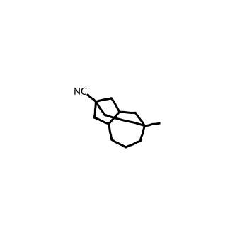 CC12CCCC3CC(C#N)(CC3C1)C2